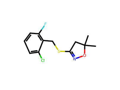 CC1(C)CC(SCc2c(F)cccc2Cl)=NO1